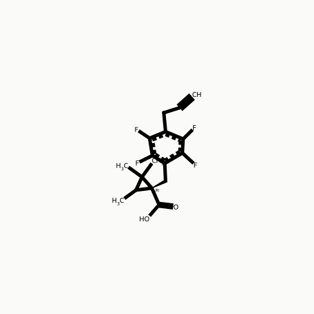 C#CCc1c(F)c(F)c(C[C@@]2(C(=O)O)C(C)C2(C)C)c(F)c1F